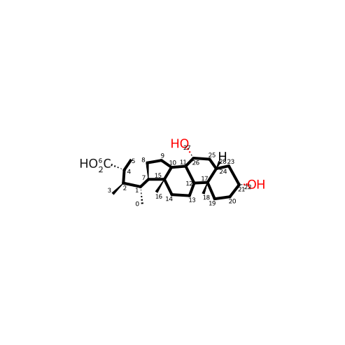 C[C@H]([C@@H](C)[C@@H](C)C(=O)O)[C@H]1CCC2C3C(CC[C@@]21C)[C@@]1(C)CC[C@@H](O)C[C@H]1C[C@H]3O